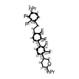 CCCc1ccc(CCc2ccc(-c3ccc(C4CCC(CCC)OC4)c(F)c3F)c(F)c2F)c(F)c1F